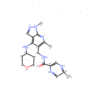 CCc1nc2c(cnn2CC)c(NC2CCOCC2)c1CNC(=O)c1cnc(C)cn1